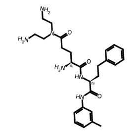 Cc1cccc(NC(=O)[C@H](CCc2ccccc2)NC(=O)[C@@H](N)CCC(=O)N(CCN)CCN)c1